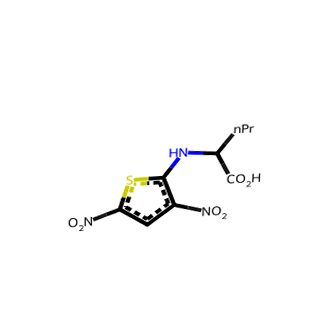 CCCC(Nc1sc([N+](=O)[O-])cc1[N+](=O)[O-])C(=O)O